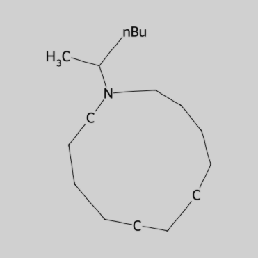 CCCCC(C)N1CCCCCCCCCCC1